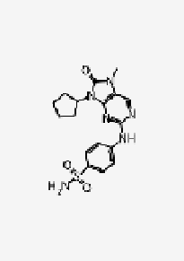 Cn1c(=O)n(C2CCCC2)c2nc(Nc3ccc(S(N)(=O)=O)cc3)ncc21